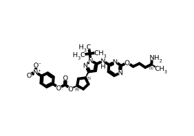 C[C@H](N)CCCOc1nccc(Nc2cc([C@H]3CC[C@@H](OC(=O)Oc4ccc([N+](=O)[O-])cc4)C3)nn2C(C)(C)C)n1